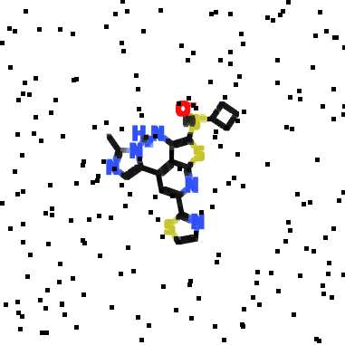 Cc1ncc(-c2cc(-c3nccs3)nc3sc([S@+]([O-])C4CCC4)c(N)c23)n1C